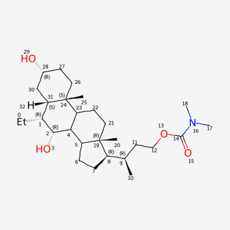 CC[C@H]1[C@@H](O)C2C3CC[C@H]([C@H](C)CCOC(=O)N(C)C)[C@@]3(C)CCC2[C@@]2(C)CC[C@@H](O)C[C@@H]12